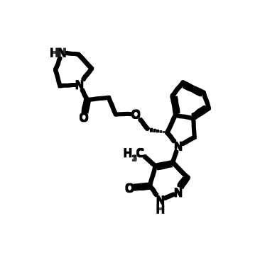 Cc1c(N2Cc3ccccc3[C@H]2COCCC(=O)N2CCNCC2)cn[nH]c1=O